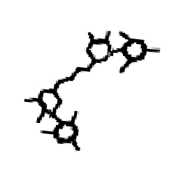 CC1=C(C)N(c2c(C)cc(C)cc2C)CC(CCCCC2CC(C)=C(C)N(c3c(C)cc(C)cc3C)C2)C1